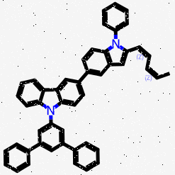 C/C=C\C=C/c1cc2cc(-c3ccc4c(c3)c3ccccc3n4-c3cc(-c4ccccc4)cc(-c4ccccc4)c3)ccc2n1-c1ccccc1